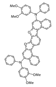 COc1ccc(N(c2ccccc2)c2cc3oc4c(ccc5c4oc4cc(N(c6ccccc6)c6ccc(OC)c(OC)c6)c6ccccc6c45)c3c3ccccc23)cc1OC